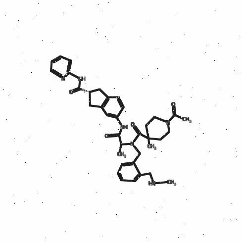 CNCc1ccccc1CN(C(=O)C1(C)CCN(C(C)=O)CC1)C(C)C(=O)Nc1ccc2c(c1)C[C@H](C(=O)Nc1ccccn1)C2